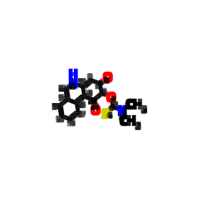 CN(C)C(=S)OC1C(=O)C=C2NC=c3ccccc3=C2C1=O